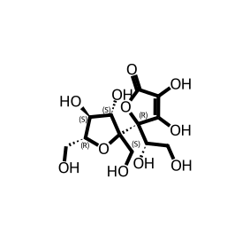 O=C1O[C@@]([C@@H](O)CO)(C2(CO)O[C@H](CO)[C@@H](O)[C@@H]2O)C(O)=C1O